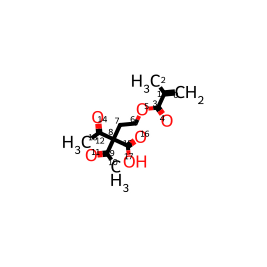 C=C(C)C(=O)OCCC(C(C)=O)(C(C)=O)C(=O)O